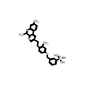 Cc1ccc2c(c1)nc(N)c1ncc(CCc3ccc(OCc4cccc([PH](O)(O)O)c4)cc3C)cc12